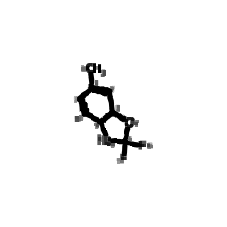 CC1=CC2OC(F)(F)BC2C=C1